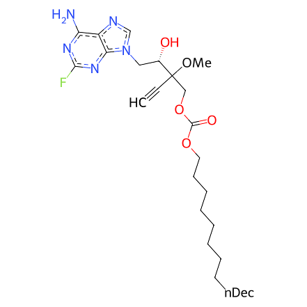 C#CC(COC(=O)OCCCCCCCCCCCCCCCCCC)(OC)[C@@H](O)Cn1cnc2c(N)nc(F)nc21